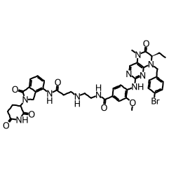 CC[C@@H]1C(=O)N(C)c2cnc(Nc3ccc(C(=O)NCCNCCC(=O)Nc4cccc5c4CN(C4CCC(=O)NC4=O)C5=O)cc3OC)nc2N1Cc1ccc(Br)cc1